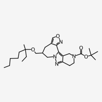 CCCCCC(C)(CC)OCC1Cc2conc2-c2c3c(nn2C1)CCN(C(=O)OC(C)(C)C)C3